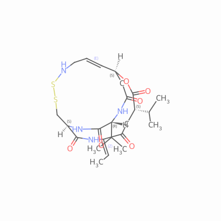 C/C=C1\NC(=O)[C@H]2CSSNC/C=C/[C@H](CC(=O)N[C@H](C(C)C)C(=O)N2)OC(=O)[C@H](C(C)C)CC1=O